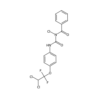 O=C(Nc1ccc(OC(F)(F)C(Cl)Cl)cc1)N(Cl)C(=O)c1ccccc1